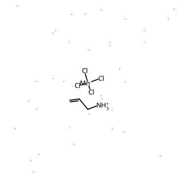 C=CC[NH3+].[Cl][Mn-]([Cl])([Cl])[Cl]